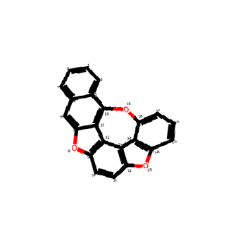 c1ccc2c(c1)cc1oc3ccc4oc5cccc6oc2c1c3c4c56